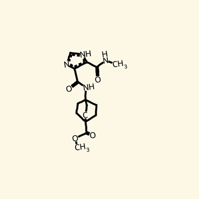 CNC(=O)c1[nH]cnc1C(=O)NC12CCC(C(=O)OC)(CC1)CC2